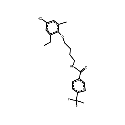 CCc1cc(O)cc(C)c1OCCCCNC(=O)c1ccc(C(F)(F)F)cc1